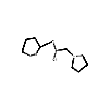 OC(CN1CCCC1)OC1CCCCO1